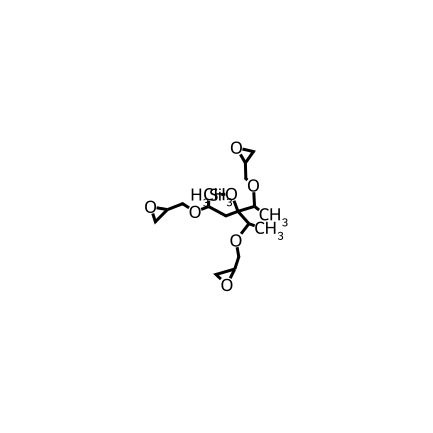 CC(CC(O[SiH3])(C(C)OCC1CO1)C(C)OCC1CO1)OCC1CO1